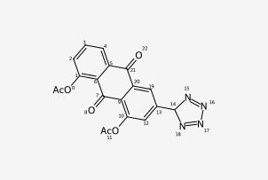 CC(=O)Oc1cccc2c1C(=O)c1c(OC(C)=O)cc(C3N=NN=N3)cc1C2=O